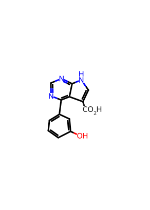 O=C(O)c1c[nH]c2ncnc(-c3cccc(O)c3)c12